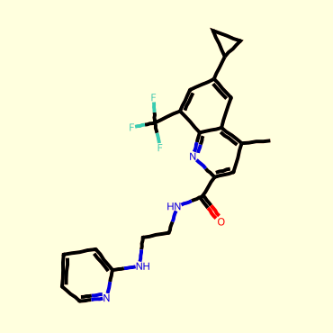 Cc1cc(C(=O)NCCNc2ccccn2)nc2c(C(F)(F)F)cc(C3CC3)cc12